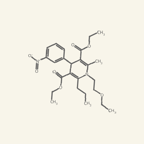 CCCC1=C(C(=O)OCC)C(c2cccc([N+](=O)[O-])c2)C(C(=O)OCC)=C(C)N1CCOCC